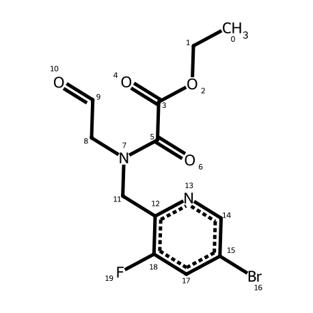 CCOC(=O)C(=O)N(CC=O)Cc1ncc(Br)cc1F